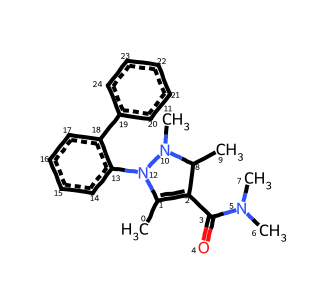 CC1=C(C(=O)N(C)C)C(C)N(C)N1c1ccccc1-c1ccccc1